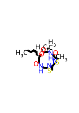 CCC/C=C\C[C@@H]1CC(=O)NCc2nc(cs2)C2=N[C@@](C)(CS2)C(=O)N[C@@H](C(C)C)C(=O)O1